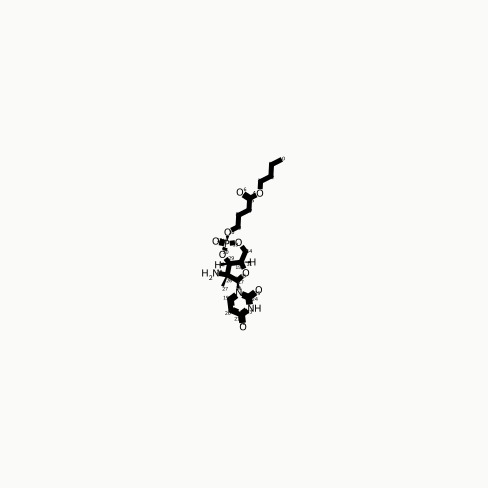 CCCCOC(=O)CCCO[P@@]1(=O)OC[C@H]2O[C@@H](n3ccc(=O)[nH]c3=O)[C@](C)(N)[C@@H]2O1